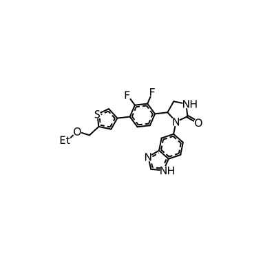 CCOCc1cc(-c2ccc(C3CNC(=O)N3c3ccc4[nH]cnc4c3)c(F)c2F)cs1